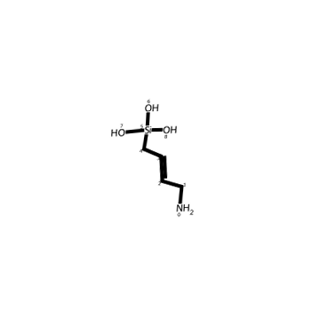 NCC=CC[Si](O)(O)O